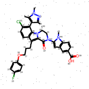 Cc1nn(C)c(C)c1-c1c(Cl)ccc2c(CCCOc3ccc(F)cc3)c3n(c12)[C@H](C)CN(c1cc2cc(C(=O)O)ccc2n1C)C3=O